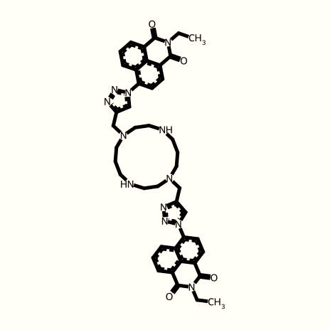 CCN1C(=O)c2cccc3c(-n4cc(CN5CCCNCCN(Cc6cn(-c7ccc8c9c(cccc79)C(=O)N(CC)C8=O)nn6)CCCNCC5)nn4)ccc(c23)C1=O